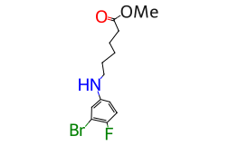 COC(=O)CCCCCNc1ccc(F)c(Br)c1